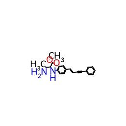 COC(=O)[C@@H](Nc1ccc(/C=C/C#Cc2ccccc2)cc1)[C@@H](C)N